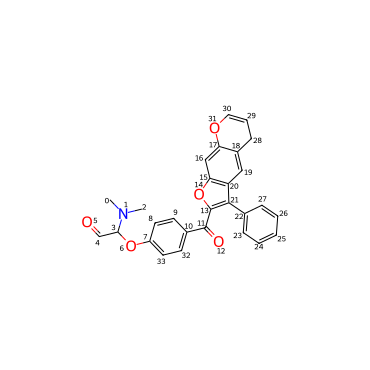 CN(C)C(C=O)Oc1ccc(C(=O)c2oc3cc4c(cc3c2-c2ccccc2)CC=CO4)cc1